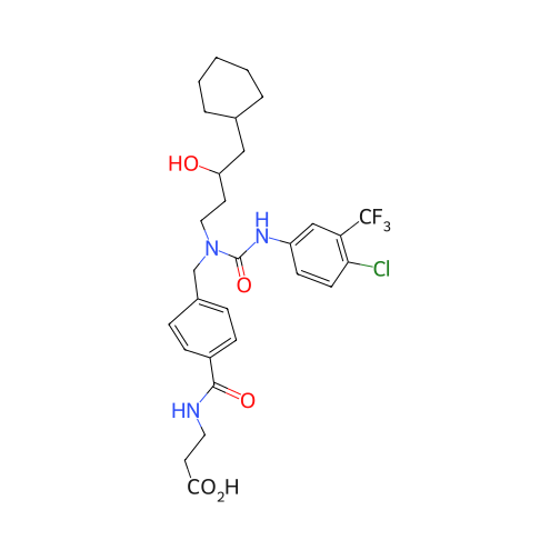 O=C(O)CCNC(=O)c1ccc(CN(CCC(O)CC2CCCCC2)C(=O)Nc2ccc(Cl)c(C(F)(F)F)c2)cc1